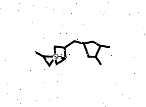 CC1CC(CC2C[SH]34(CC3C)CC24)CC1C